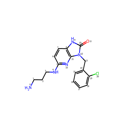 NCCCNc1ccc2[nH]c(=O)n(Cc3ccccc3Cl)c2n1